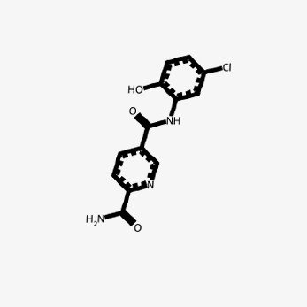 NC(=O)c1ccc(C(=O)Nc2cc(Cl)ccc2O)cn1